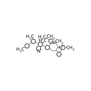 C=C1CC2C(CCc3ccc(-c4ccc(-c5cc(C)cc(-c6ccc(C)cc6)c5)c5ccncc45)cc3-c3cc(C(C)(C)C)cc[n+]31)c1ccccc1-c1cc(C)cc[n+]12